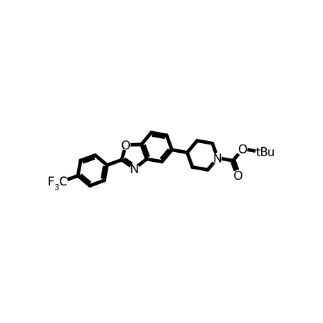 CC(C)(C)OC(=O)N1CCC(c2ccc3oc(-c4ccc(C(F)(F)F)cc4)nc3c2)CC1